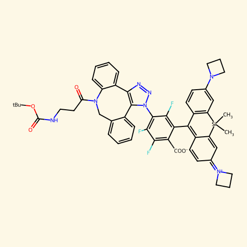 CC(C)(C)OC(=O)NCCC(=O)N1Cc2ccccc2-c2c(nnn2-c2c(F)c(F)c(C(=O)[O-])c(C3=C4C=CC(=[N+]5CCC5)C=C4[Si](C)(C)c4cc(N5CCC5)ccc43)c2F)-c2ccccc21